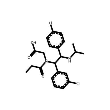 CCC(=O)N(CC(=O)O)C(c1cccc(Cl)c1)C(NC(C)C)c1ccc(Cl)cc1